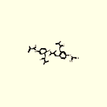 C=C(C)C(=O)Oc1ccc(OC(=O)/C(C)=C/c2ccc(OC(=O)C(C)C)cc2OC(=O)C(=C)C)c(OC(=O)C(=C)C)c1